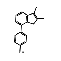 CC1=C(C)c2cccc(-c3ccc(C(C)(C)C)cc3)c2C1